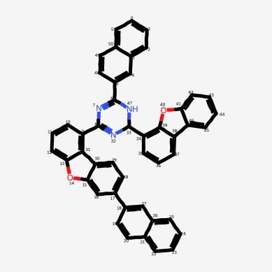 c1ccc2cc(C3=NC(c4cccc5oc6cc(-c7ccc8ccccc8c7)ccc6c45)=NC(c4cccc5c4oc4ccccc45)N3)ccc2c1